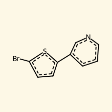 Brc1ccc(-c2cccnc2)s1